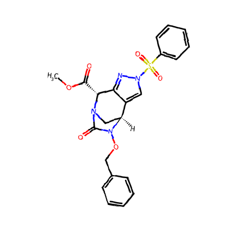 COC(=O)[C@@H]1c2nn(S(=O)(=O)c3ccccc3)cc2[C@@H]2CN1C(=O)N2OCc1ccccc1